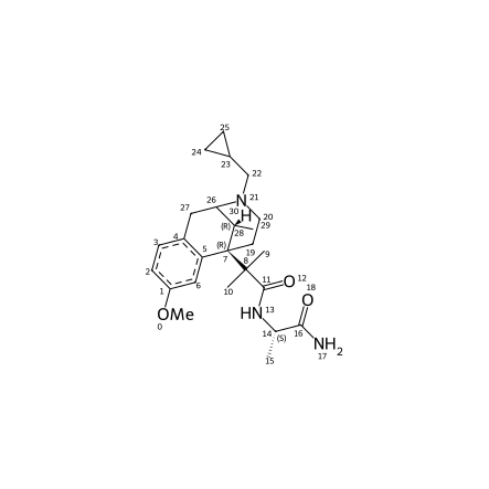 COc1ccc2c(c1)[C@@]1(C(C)(C)C(=O)N[C@@H](C)C(N)=O)CCN(CC3CC3)C(C2)[C@@H]1C